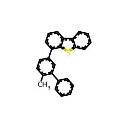 Cc1ccc(-c2cccc3c2sc2ccccc23)cc1-c1ccccc1